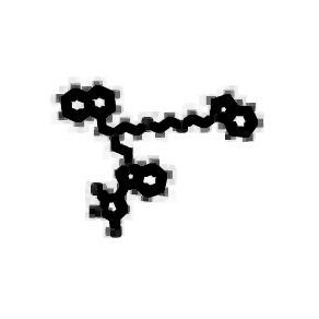 O=C1C=C(c2cn(CCN(CCOCCOCCn3ccc4ccccc43)Cc3cccc4ccccc34)c3ccccc23)C(=O)N1